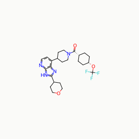 O=C([C@H]1CC[C@@H](OC(F)(F)F)CC1)N1CCC(c2ccnc3[nH]c(C4CCOCC4)nc23)CC1